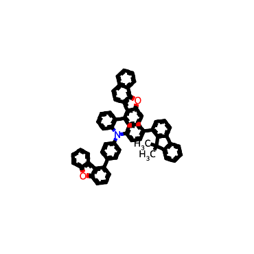 CC1(C)c2ccccc2-c2cccc(-c3ccc(N(c4ccc(-c5cccc6oc7ccccc7c56)cc4)c4ccccc4-c4cccc5oc6c7ccccc7ccc6c45)cc3)c21